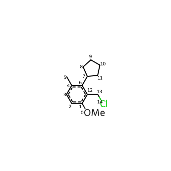 COc1ccc(C)c(C2CCCC2)c1CCl